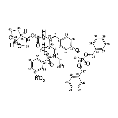 CC(C)CN(C[C@@H](O)[C@H](Cc1ccc(OCP(=O)(OCc2ccccc2)OCc2ccccc2)cc1)NC(=O)O[C@H]1CO[C@H]2OCC[C@H]21)S(=O)(=O)c1cccc([N+](=O)[O-])c1